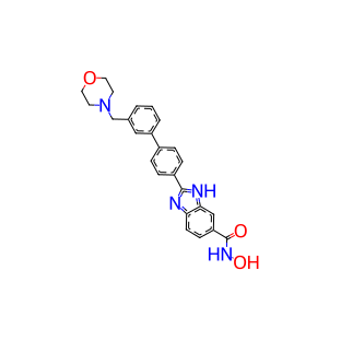 O=C(NO)c1ccc2nc(-c3ccc(-c4cccc(CN5CCOCC5)c4)cc3)[nH]c2c1